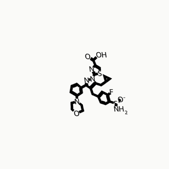 N[S+]([O-])c1ccc(Cc2c(-c3cccc(N4CCOCC4)c3)nn(-c3nc(C(=O)O)cs3)c2CC2CC2)cc1F